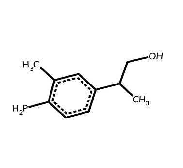 Cc1cc(C(C)CO)ccc1P